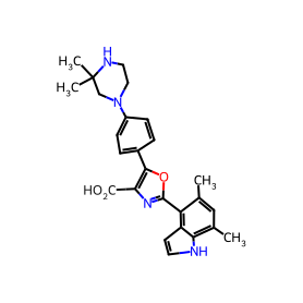 Cc1cc(C)c2[nH]ccc2c1-c1nc(C(=O)O)c(-c2ccc(N3CCNC(C)(C)C3)cc2)o1